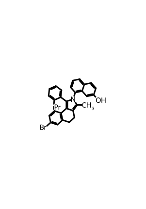 Cc1c2c(c(-c3ccccc3C(C)C)n1-c1cccc3ccc(O)cc13)-c1ccc(Br)cc1CC2